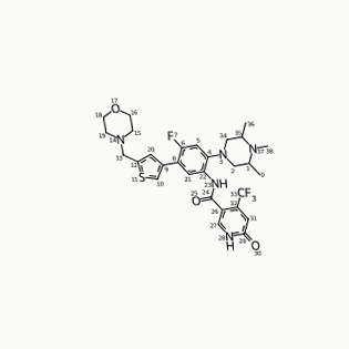 CC1CN(c2cc(F)c(-c3csc(CN4CCOCC4)c3)cc2NC(=O)c2c[nH]c(=O)cc2C(F)(F)F)CC(C)N1C